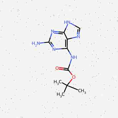 CC(C)(C)OC(=O)Nc1nc(N)nc2[nH]cnc12